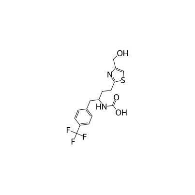 O=C(O)NC(CCc1nc(CO)cs1)Cc1ccc(C(F)(F)F)cc1